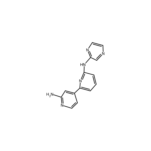 Nc1cc(-c2cccc(Nc3cnccn3)n2)ccn1